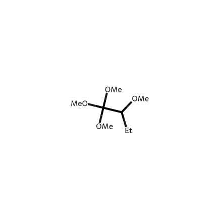 CCC(OC)C(OC)(OC)OC